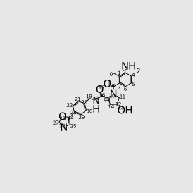 Cc1c(N)cccc1C(=O)N1CC(O)C[C@H]1C(=O)NCc1ccc(-c2cnco2)cc1